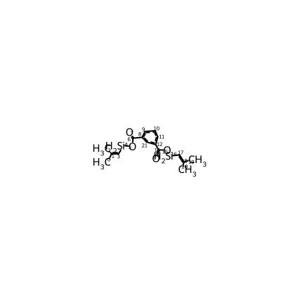 CC(C)=C[SiH2]OC(=O)c1cccc(C(=O)O[SiH2]C=C(C)C)c1